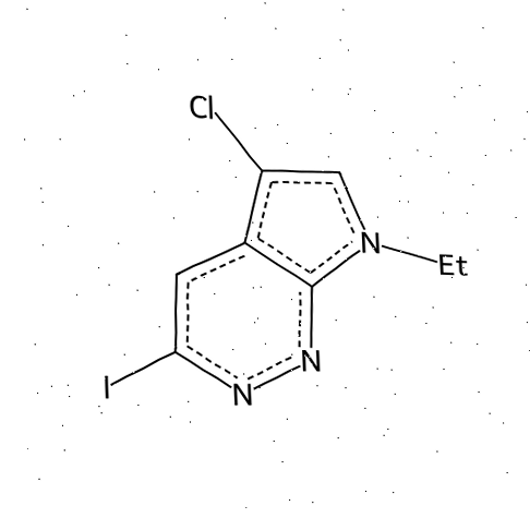 CCn1cc(Cl)c2cc(I)nnc21